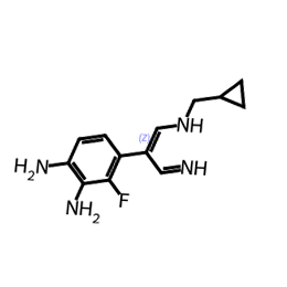 N=C/C(=C\NCC1CC1)c1ccc(N)c(N)c1F